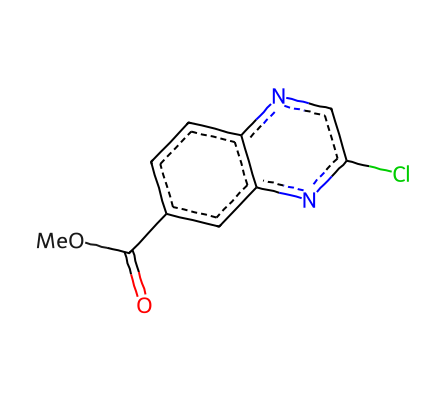 COC(=O)c1ccc2ncc(Cl)nc2c1